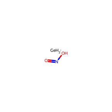 O=NO.[GeH2]